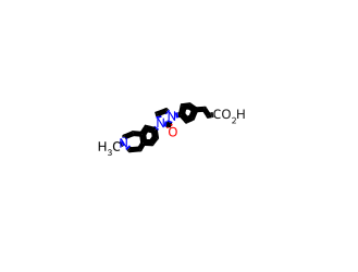 CN1CCc2ccc(N3CCN(c4ccc(CCC(=O)O)cc4)C3=O)cc2CC1